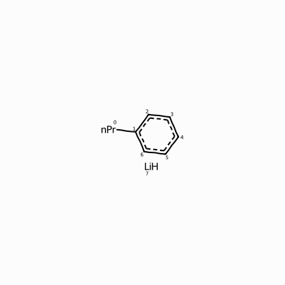 CCCc1ccccc1.[LiH]